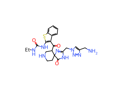 CCNC(=O)Nc1sc2ccccc2c1C(=O)C1CNCCC12N=C(Cn1cc(CN)nn1)NC2=O